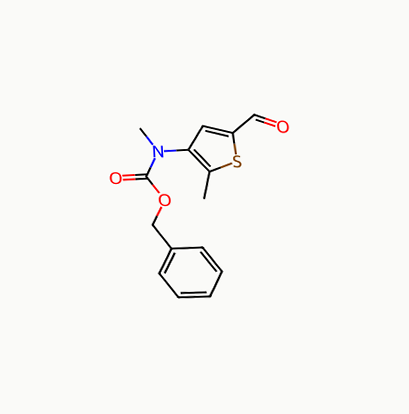 Cc1sc(C=O)cc1N(C)C(=O)OCc1ccccc1